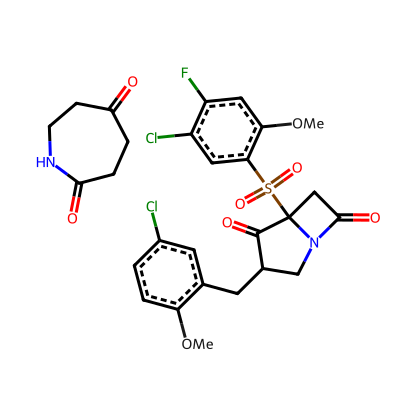 COc1ccc(Cl)cc1CC1CN2C(=O)CC2(S(=O)(=O)c2cc(Cl)c(F)cc2OC)C1=O.O=C1CCNC(=O)CC1